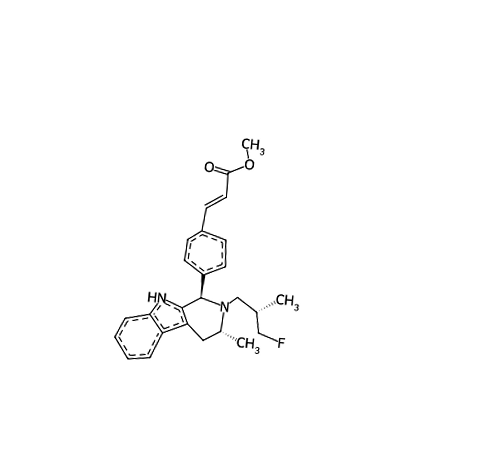 COC(=O)C=Cc1ccc([C@@H]2c3[nH]c4ccccc4c3C[C@@H](C)N2C[C@H](C)CF)cc1